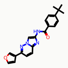 CC(C)(C)c1ccc(C(=O)Nc2cn3nc(-c4ccoc4)ccc3n2)cc1